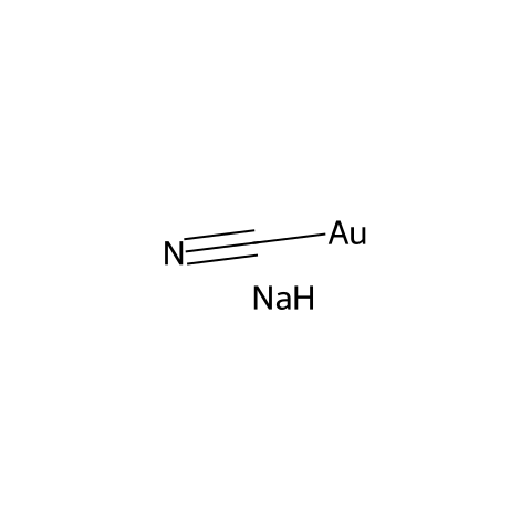 N#[C][Au].[NaH]